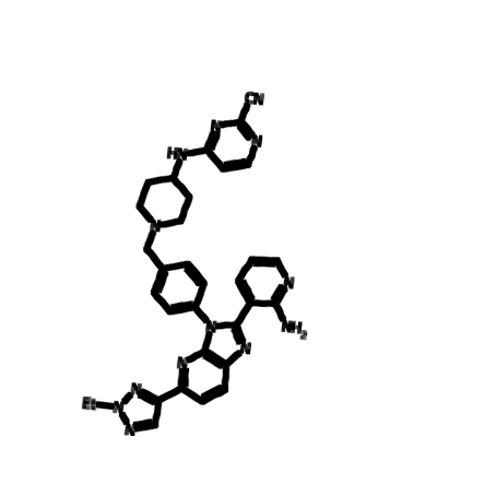 CCn1ncc(-c2ccc3nc(-c4cccnc4N)n(-c4ccc(CN5CCC(Nc6ccnc(C#N)n6)CC5)cc4)c3n2)n1